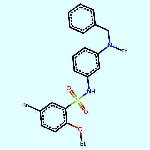 [CH2]CN(Cc1ccccc1)c1cccc(NS(=O)(=O)c2cc(Br)ccc2OCC)c1